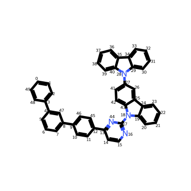 c1ccc(-c2cccc(-c3ccc(-c4ccnc(-n5c6ccccc6c6cc(-n7c8ccccc8c8ccccc87)ccc65)n4)cc3)c2)cc1